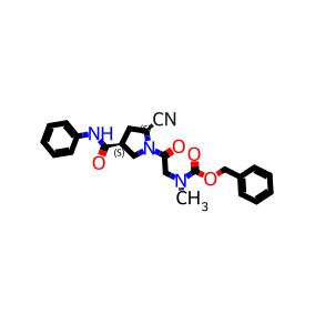 CN(CC(=O)N1C[C@@H](C(=O)Nc2ccccc2)C[C@H]1C#N)C(=O)OCc1ccccc1